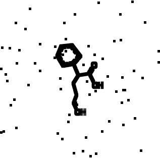 O=C(O)C(CCCO)c1ccccc1